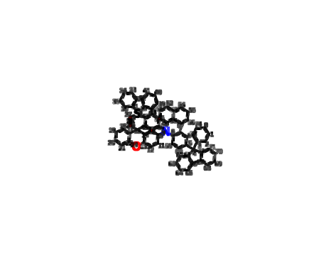 c1ccc(C2(c3ccc(N(c4ccc5c(c4)C4(c6ccccc6O5)c5ccccc5[Si](c5ccccc5)(c5ccccc5)c5ccccc54)c4cccc5ccccc45)cc3)c3ccccc3-c3ccccc32)cc1